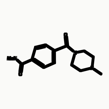 CNC(=O)c1ccc(C(=O)N2CCN(C)CC2)cc1